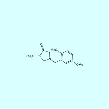 CCOC(=O)C1CN(Cc2cc(OC)ccc2OC)CC1=O